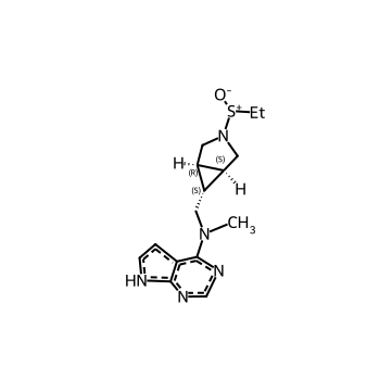 CC[S+]([O-])N1C[C@@H]2[C@@H](CN(C)c3ncnc4[nH]ccc34)[C@@H]2C1